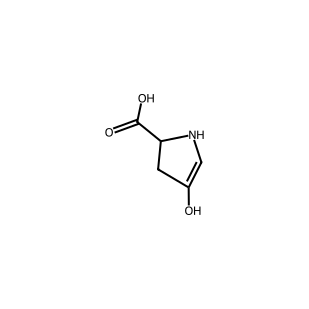 O=C(O)C1CC(O)=CN1